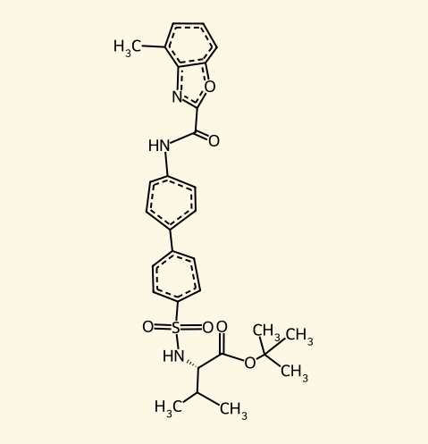 Cc1cccc2oc(C(=O)Nc3ccc(-c4ccc(S(=O)(=O)N[C@H](C(=O)OC(C)(C)C)C(C)C)cc4)cc3)nc12